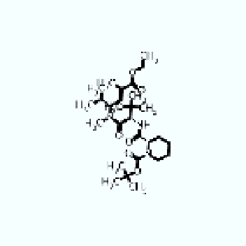 CCOC(=O)/C(C)=C/[C@H](C(C)C)N(C)C(=O)[C@@H](NC(=O)[C@H]1CCCCN1C(=O)OC(C)(C)C)C(C)(C)C